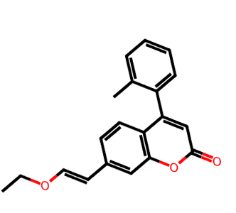 CCO/C=C/c1ccc2c(-c3ccccc3C)cc(=O)oc2c1